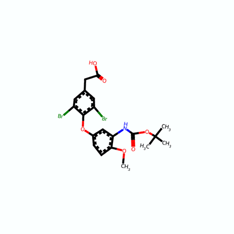 COc1ccc(Oc2c(Br)cc(CC(=O)O)cc2Br)cc1NC(=O)OC(C)(C)C